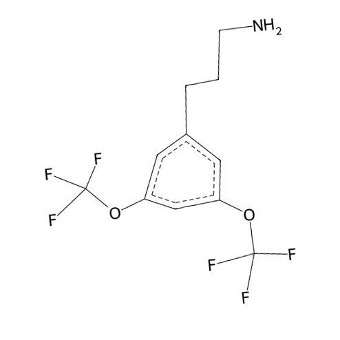 NCCCc1cc(OC(F)(F)F)cc(OC(F)(F)F)c1